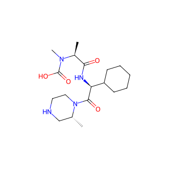 C[C@@H]1CNCCN1C(=O)[C@@H](NC(=O)[C@H](C)N(C)C(=O)O)C1CCCCC1